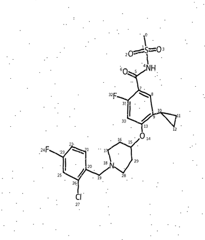 CS(=O)(=O)NC(=O)c1cc(C2CC2)c(OC2CCN(Cc3ccc(F)cc3Cl)CC2)cc1F